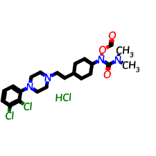 CN(C)C(=O)N(OC=O)C1CCC(CCN2CCN(c3cccc(Cl)c3Cl)CC2)CC1.Cl